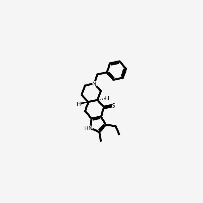 CCc1c(C)[nH]c2c1C(=S)[C@@H]1CN(Cc3ccccc3)CC[C@H]1C2